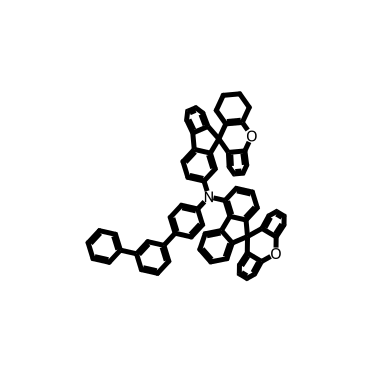 c1ccc(-c2cccc(-c3ccc(N(c4ccc5c(c4)C4(C6=C(CCCC6)Oc6ccccc64)c4ccccc4-5)c4cccc5c4-c4ccccc4C54c5ccccc5Oc5ccccc54)cc3)c2)cc1